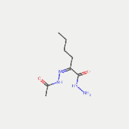 CCCCC(=NNC(C)=O)C(=O)NN